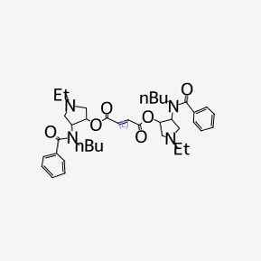 CCCCN(C(=O)c1ccccc1)C1CN(CC)CC1OC(=O)/C=C/C(=O)OC1CN(CC)CC1N(CCCC)C(=O)c1ccccc1